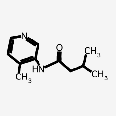 Cc1ccncc1NC(=O)CC(C)C